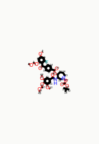 COCOc1cc(OC)cc(F)c1C(=O)c1ccc(C(=O)O[C@@H]2CCCN(OC(=O)OC(C)(C)C)C[C@H]2NC(=O)c2cc(OC)c(OCOC)c(OC)c2)cc1